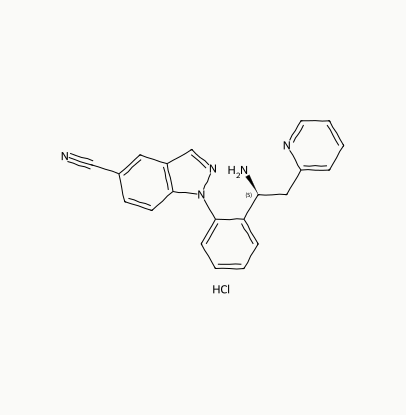 Cl.N#Cc1ccc2c(cnn2-c2ccccc2[C@@H](N)Cc2ccccn2)c1